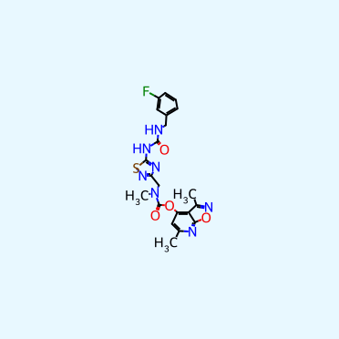 Cc1cc(OC(=O)N(C)Cc2nsc(NC(=O)NCc3cccc(F)c3)n2)c2c(C)noc2n1